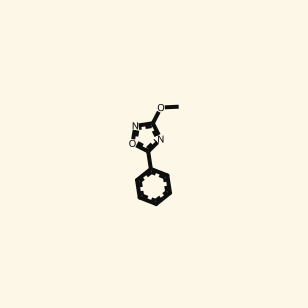 COc1noc(-c2ccccc2)n1